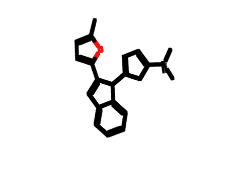 Cc1ccc(C2=Cc3ccccc3C2C2=CC=C([SiH](C)C)C2)o1